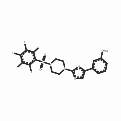 COc1cccc(-c2csc(N3CCN(S(=O)(=O)c4c(F)c(F)c(F)c(F)c4F)CC3)n2)c1